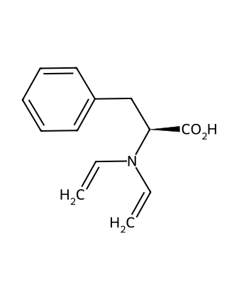 C=CN(C=C)[C@@H](Cc1ccccc1)C(=O)O